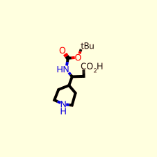 CC(C)(C)OC(=O)NC(CC(=O)O)C1CCNCC1